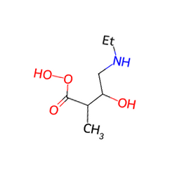 CCNCC(O)C(C)C(=O)OO